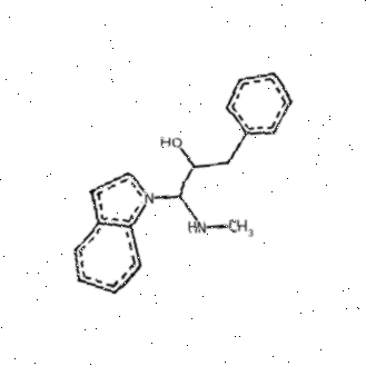 CNC(C(O)Cc1ccccc1)n1ccc2ccccc21